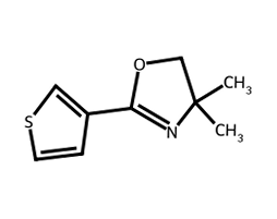 CC1(C)COC(c2ccsc2)=N1